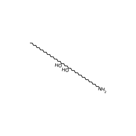 CCCCCCCCCCCCCCCCCCC(O)CCCC(O)CCCCCCCCCCCCCCCCCN